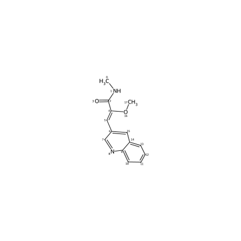 CNC(=O)C(=Cc1cnc2ccccc2c1)OC